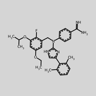 CCOc1cc(CN(c2ccc(C(=N)N)cc2)c2nc(-c3c(C)cccc3C)c[nH]2)c(F)c(OC(C)C)c1